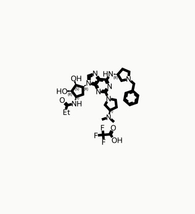 CCC(=O)N[C@H]1C[C@@H](n2cnc3c(N[C@@H]4CCN(Cc5ccccc5)C4)nc(N4CC[C@@H](N(C)C)C4)nc32)[C@H](O)[C@@H]1O.O=C(O)C(F)(F)F